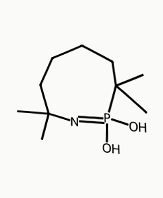 CC1(C)CCCCC(C)(C)P(O)(O)=N1